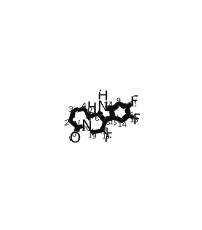 O=C1CCC[C@H]2c3[nH]c4cc(F)c(F)cc4c3[C@@H](F)CN12